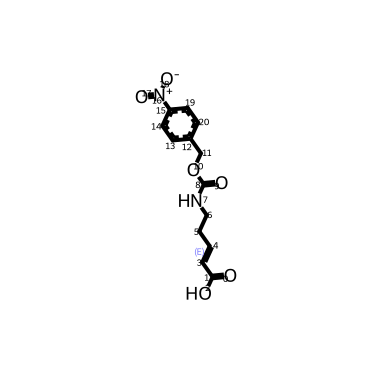 O=C(O)/C=C/CCNC(=O)OCc1ccc([N+](=O)[O-])cc1